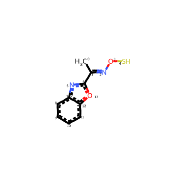 C/C(=N\OS)c1nc2ccccc2o1